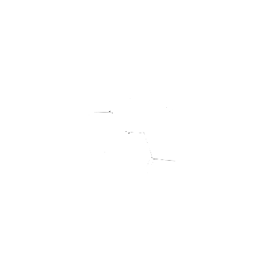 CC(=O)CC(=O)C(=O)O.[BaH2]